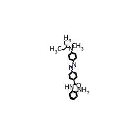 CCC(C)N(C)c1ccc(/N=N/c2ccc(C(=O)Nc3cc#ccc3N)cc2)cc1